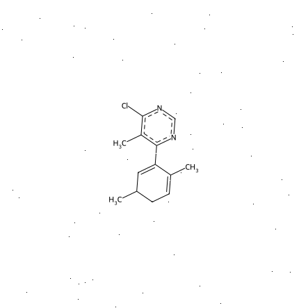 CC1=CCC(C)C=C1c1ncnc(Cl)c1C